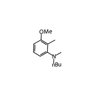 CCCCN(C)c1cccc(OC)c1C